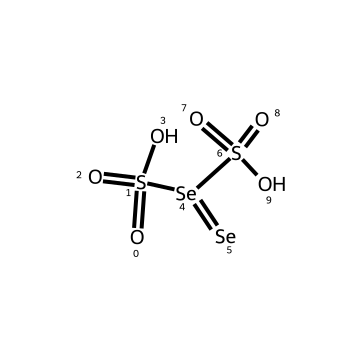 O=S(=O)(O)[Se](=[Se])S(=O)(=O)O